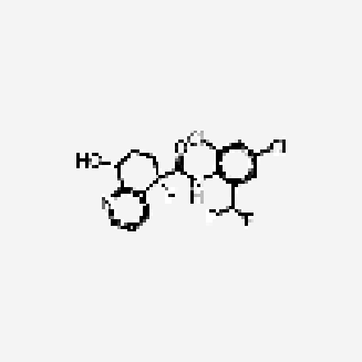 O=C(Nc1c(Cl)cc(Cl)cc1C(F)F)[C@]1(F)CC[C@H](O)c2ncccc21